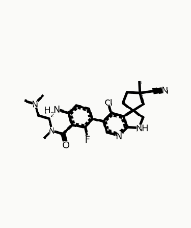 CN(C)CCN(C)C(=O)c1c(N)ccc(-c2cnc3c(c2Cl)C2(CCC(C)(C#N)C2)CN3)c1F